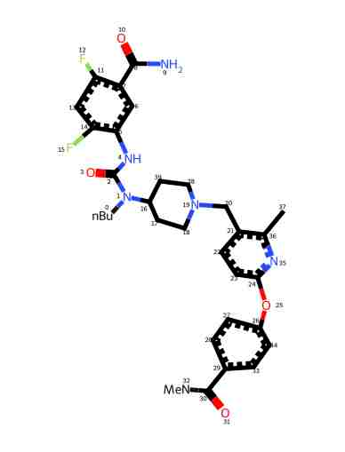 CCCCN(C(=O)Nc1cc(C(N)=O)c(F)cc1F)C1CCN(Cc2ccc(Oc3ccc(C(=O)NC)cc3)nc2C)CC1